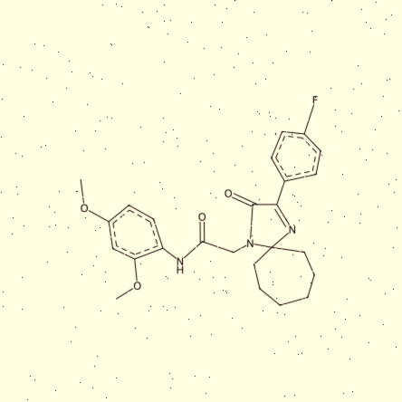 COc1ccc(NC(=O)CN2C(=O)C(c3ccc(F)cc3)=NC23CCCCCC3)c(OC)c1